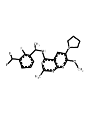 COc1nc2nc(C)nc(N[C@H](C)c3cccc(C(F)F)c3F)c2cc1N1CCCC1